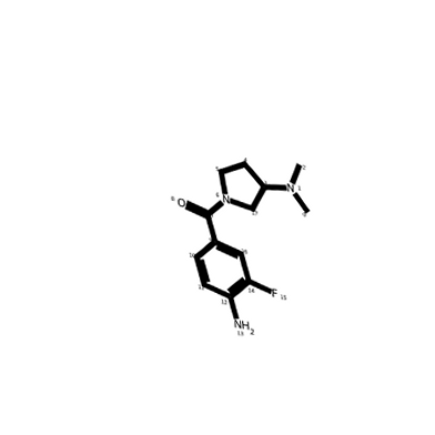 CN(C)C1CCN(C(=O)c2ccc(N)c(F)c2)C1